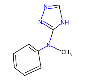 CN(c1ccccc1)c1nnc[nH]1